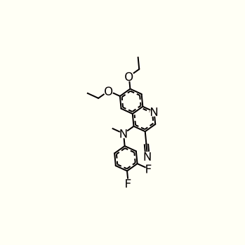 CCOc1cc2ncc(C#N)c(N(C)c3ccc(F)c(F)c3)c2cc1OCC